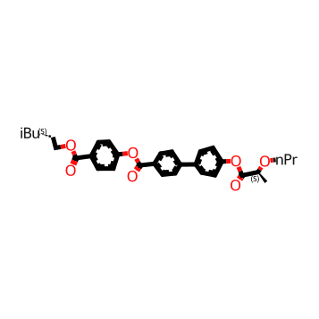 CCCO[C@@H](C)C(=O)Oc1ccc(-c2ccc(C(=O)Oc3ccc(C(=O)OCC[C@@H](C)CC)cc3)cc2)cc1